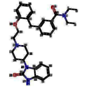 CCN(CC)C(=O)c1cccc(Cc2ccccc2OCCN2CCC(n3c(=O)[nH]c4ccccc43)CC2)c1